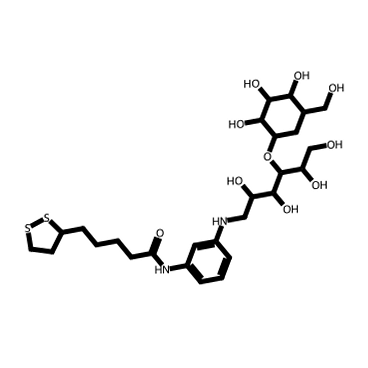 O=C(CCCCC1CCSS1)Nc1cccc(NCC(O)C(O)C(OC2CC(CO)C(O)C(O)C2O)C(O)CO)c1